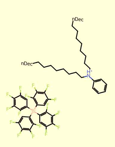 CCCCCCCCCCCCCCCCCC[NH+](CCCCCCCCCCCCCCCCCC)c1ccccc1.Fc1cc([B-](c2cc(F)c(F)c(F)c2F)(c2cc(F)c(F)c(F)c2F)c2cc(F)c(F)c(F)c2F)c(F)c(F)c1F